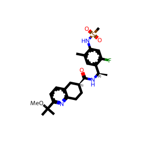 COC(C)(C)c1ccc2c(n1)CC[C@H](C(=O)N[C@H](C)c1cc(C)c(NS(C)(=O)=O)cc1F)C2